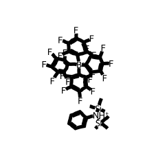 C[Si](C)(C)[NH+](c1ccccc1)[Si](C)(C)C.Fc1c(F)c(F)c([B-](c2c(F)c(F)c(F)c(F)c2F)(c2c(F)c(F)c(F)c(F)c2F)c2c(F)c(F)c(F)c(F)c2F)c(F)c1F